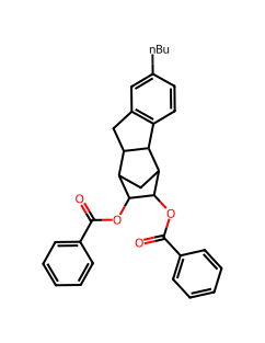 CCCCc1ccc2c(c1)CC1C3CC(C(OC(=O)c4ccccc4)C3OC(=O)c3ccccc3)C21